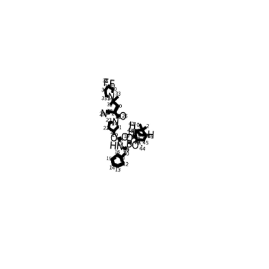 CC1(C)[C@H]2C[C@@H]1[C@@H]1OB([C@H](Cc3ccccc3)NC(=O)OC3CCN(C(=O)C(C#N)=CC(C)(C)N4CCC(F)(F)C4)C3)O[C@]1(C)C2